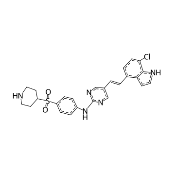 O=S(=O)(c1ccc(Nc2ncc(C=Cc3ccc(Cl)c4[nH]ccc34)cn2)cc1)C1CCNCC1